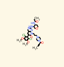 C=CC(=O)NC1CCOCC1Nc1ncc2cc(-c3c(Cl)c(OC)cc(OC)c3Cl)c(=O)n(CCCN3CCN(C(=O)C#CC)CC3)c2n1